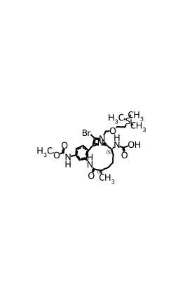 COC(=O)Nc1ccc2c(c1)NC(=O)[C@H](C)CCC[C@H](NC(=O)O)c1nc-2c(Br)n1COCC[Si](C)(C)C